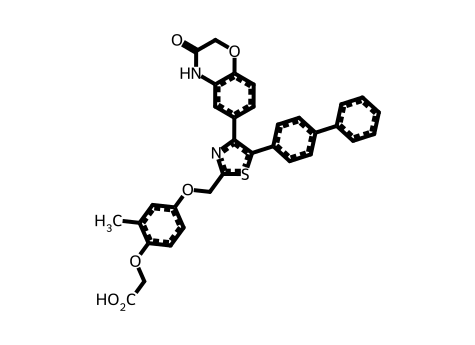 Cc1cc(OCc2nc(-c3ccc4c(c3)NC(=O)CO4)c(-c3ccc(-c4ccccc4)cc3)s2)ccc1OCC(=O)O